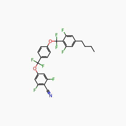 CCCCc1cc(F)c(C(F)(F)Oc2ccc(C(F)(F)Oc3cc(F)c(C#N)c(F)c3)cc2)c(F)c1